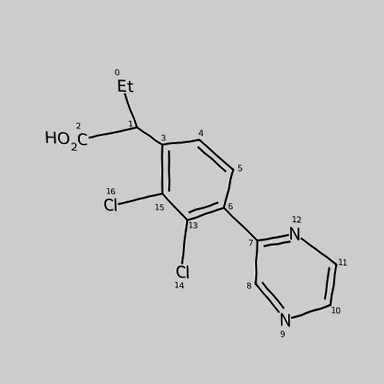 CCC(C(=O)O)c1ccc(-c2cnccn2)c(Cl)c1Cl